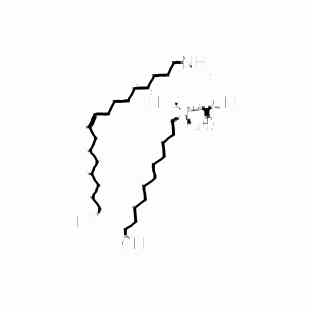 CCCCCCCC/C=C\CCCCCCCCN.CCCCCCCCCCCC[N+](C)(C)OC(C)=O